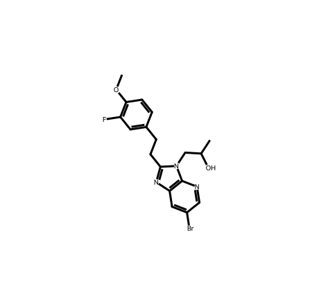 COc1ccc(CCc2nc3cc(Br)cnc3n2CC(C)O)cc1F